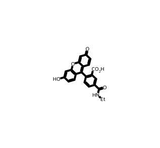 CCNC(=O)c1ccc(-c2c3ccc(=O)cc-3oc3cc(O)ccc23)c(C(=O)O)c1